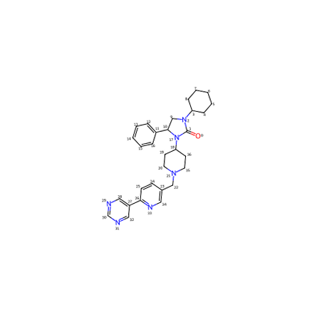 O=C1N(C2CCCCC2)CC(c2ccccc2)N1C1CCN(Cc2ccc(-c3cncnc3)nc2)CC1